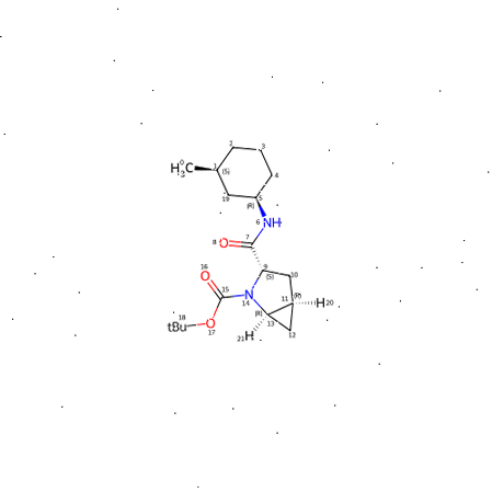 C[C@H]1CCC[C@@H](NC(=O)[C@@H]2C[C@H]3C[C@H]3N2C(=O)OC(C)(C)C)C1